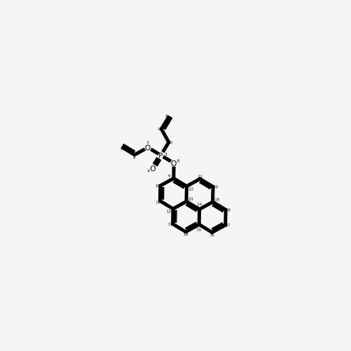 C=CCP(=O)(OC=C)Oc1ccc2ccc3cccc4ccc1c2c34